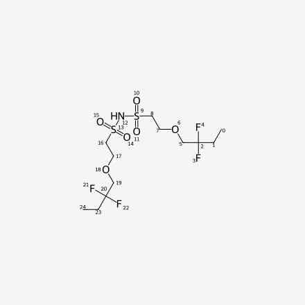 CCC(F)(F)COCCS(=O)(=O)NS(=O)(=O)CCOCC(F)(F)CC